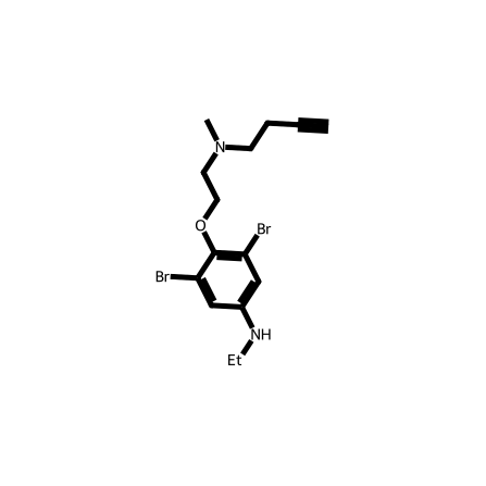 C#CCCN(C)CCOc1c(Br)cc(NCC)cc1Br